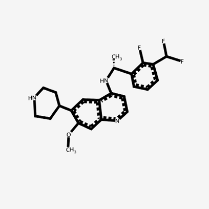 COc1cc2nccc(N[C@H](C)c3cccc(C(F)F)c3F)c2cc1C1CCNCC1